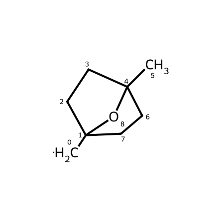 [CH2]C12CCC(C)(CC1)O2